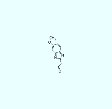 COc1ccc2nn(CC=O)nc2c1